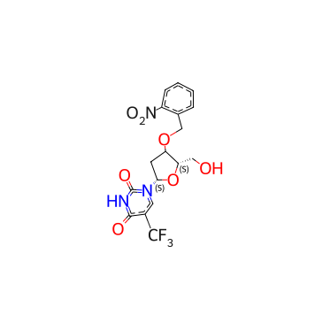 O=c1[nH]c(=O)n([C@@H]2CC(OCc3ccccc3[N+](=O)[O-])[C@H](CO)O2)cc1C(F)(F)F